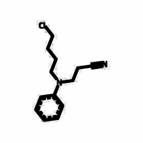 N#CCCN(CCCCCl)c1ccccc1